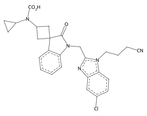 N#CCCCn1c(CN2C(=O)C3(CC(N(C(=O)O)C4CC4)C3)c3ccccc32)nc2cc(Cl)ccc21